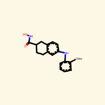 COc1ccccc1Nc1ccc2c(c1)CCC(C(=O)NO)C2